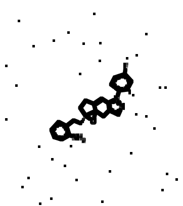 Nc1ccccc1CC[C@]12CCC3=Cc4c(cnn4-c4ccc(F)cc4)CC31O2